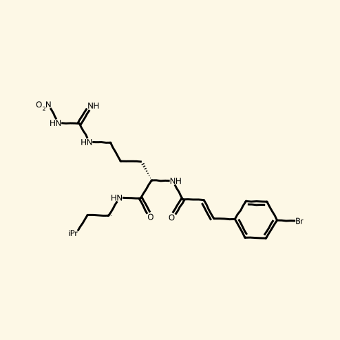 CC(C)C[CH]NC(=O)[C@H](CCCNC(=N)N[N+](=O)[O-])NC(=O)/C=C/c1ccc(Br)cc1